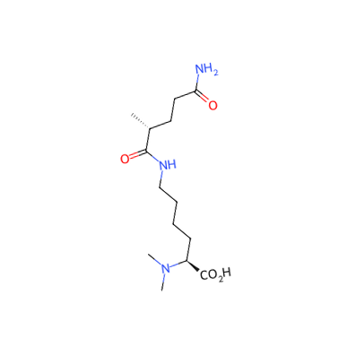 C[C@H](CCC(N)=O)C(=O)NCCCC[C@@H](C(=O)O)N(C)C